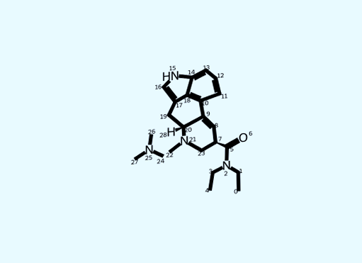 CCN(CC)C(=O)[C@@H]1C=C2c3cccc4[nH]cc(c34)C[C@H]2N(C)C1.CN(C)C